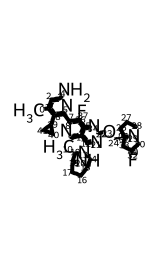 Cc1cc(N)nc(-c2nc(C)c3c(N4CC5CCC(C4)N5)nc(OC[C@@]45CCCN4C[C@H](F)C5)nc3c2F)c1C1CC1